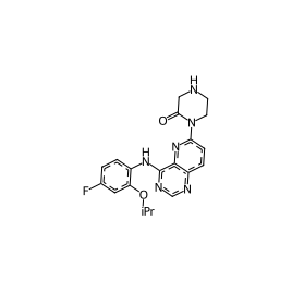 CC(C)Oc1cc(F)ccc1Nc1ncnc2ccc(N3CCNCC3=O)nc12